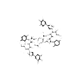 Cc1nc(C2OC(CO)C(O)C(n3cc(-c4cc(F)c(Cl)c(F)c4)nn3)C2OCC(=O)N2CCN(C(=O)COC3C(c4nc(C)nn4-c4cc(Cl)ccc4Cl)OC(CO)C(O)C3n3cc(-c4cc(F)c(Cl)c(F)c4)nn3)CC2)n(-c2cc(Cl)ccc2Cl)n1